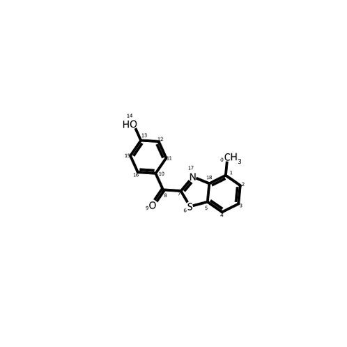 Cc1cccc2sc(C(=O)c3ccc(O)cc3)nc12